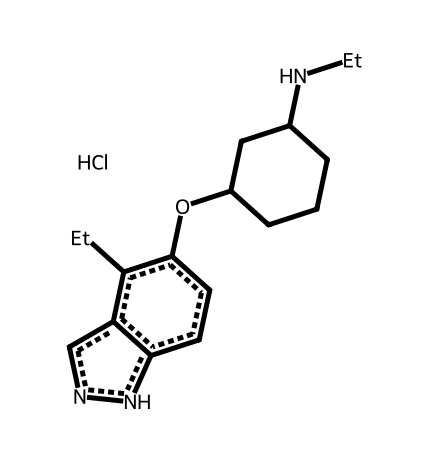 CCNC1CCCC(Oc2ccc3[nH]ncc3c2CC)C1.Cl